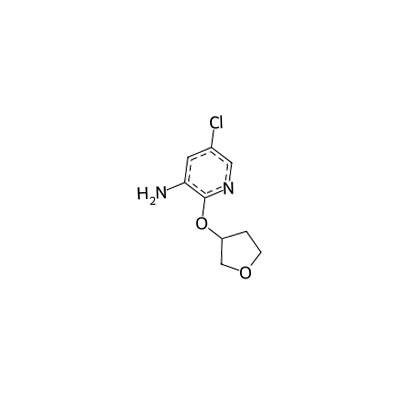 Nc1cc(Cl)cnc1OC1CCOC1